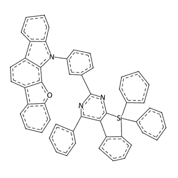 c1ccc(-c2nc(-c3cccc(-n4c5ccccc5c5ccc6c7ccccc7oc6c54)c3)nc3c2-c2ccccc2[Si]3(c2ccccc2)c2ccccc2)cc1